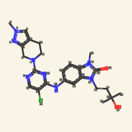 Cn1cc2c(n1)CN(c1ncc(Cl)c(Nc3ccc4c(c3)n(CCC(C)(C)O)c(=O)n4C)n1)CC2